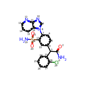 NC(=O)C(c1ccc(-n2cnc3ncccc32)c(S(N)(=O)=O)c1)c1ccccc1Cl